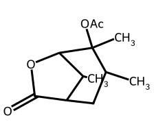 CC(=O)OC1(C)C(C)CC2C(=O)OC1C2C